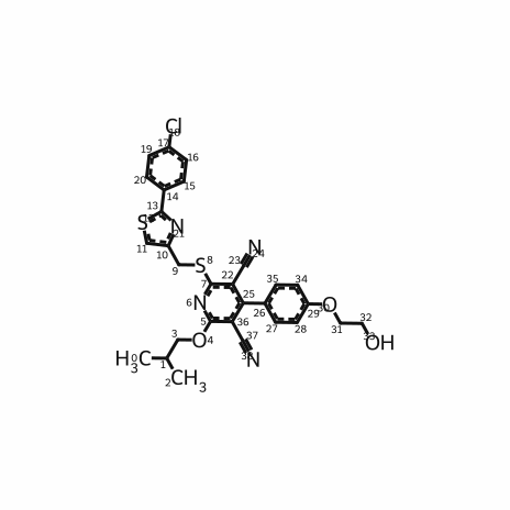 CC(C)COc1nc(SCc2csc(-c3ccc(Cl)cc3)n2)c(C#N)c(-c2ccc(OCCO)cc2)c1C#N